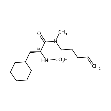 C=CCCCN(C)C(=O)[C@H](CC1CCCCC1)NC(=O)O